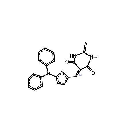 CN1C(=O)/C(=C/c2ccc(N(c3ccccc3)c3ccccc3)s2)C(=O)NC1=S